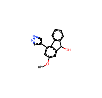 CCCOc1cc(-c2cn[nH]c2)c2c(c1)C(O)c1ccccc1-2